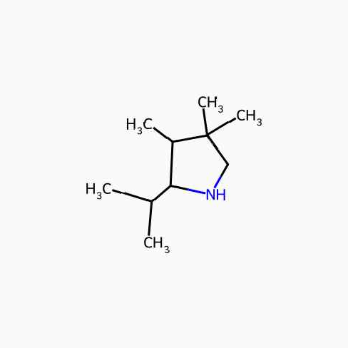 CC(C)C1NCC(C)(C)C1C